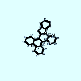 c1ccc2c(c1)cc1c3c4ccccc4c4ccccc4c3c3nccnc3n21